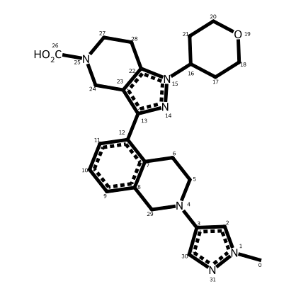 Cn1cc(N2CCc3c(cccc3-c3nn(C4CCOCC4)c4c3CN(C(=O)O)CC4)C2)cn1